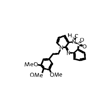 COc1cc(CCN2C=CC=C3C2=Nc2ccccc2S(=O)(=O)N3C)cc(OC)c1OC